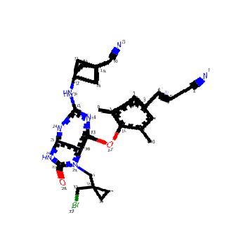 Cc1cc(/C=C/C#N)cc(C)c1Oc1nc(NC23CC(C#N)(C2)C3)nc2[nH]c(=O)n(CC3(CBr)CC3)c12